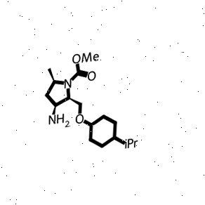 COC(=O)N1[C@H](C)C[C@H](N)[C@@H]1COC1CCC(C(C)C)CC1